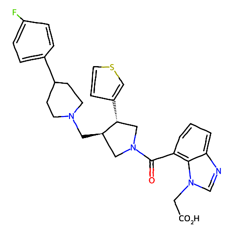 O=C(O)Cn1cnc2cccc(C(=O)N3C[C@@H](CN4CCC(c5ccc(F)cc5)CC4)[C@H](c4ccsc4)C3)c21